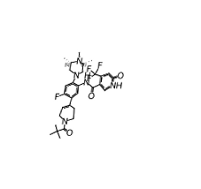 C[C@@H]1CN(c2cc(F)c(C3=CCN(C(=O)C(C)(C)C)CC3)cc2NC(=O)c2c[nH]c(=O)cc2C(F)(F)F)C[C@H](C)N1C